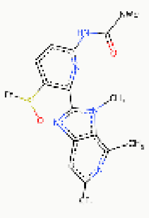 CC[S+]([O-])c1ccc(NC(=O)NC)nc1-c1nc2cc(C(F)(F)F)nc(C)c2n1C